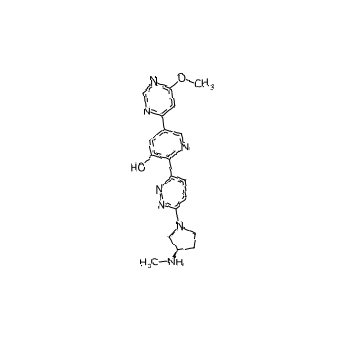 CN[C@@H]1CCN(c2ccc(-c3ncc(-c4cc(OC)ncn4)cc3O)nn2)C1